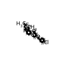 CC(F)Cc1nc2ccc(-n3ccc(OCc4ccc(Cl)cc4)cc3=O)cc2n1C